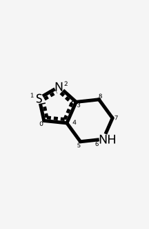 c1snc2c1CNCC2